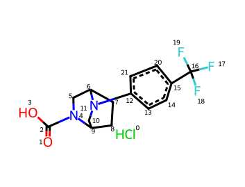 Cl.O=C(O)N1CC2CCC1CN2c1ccc(C(F)(F)F)cc1